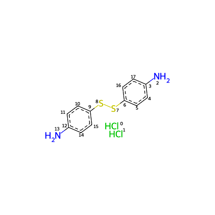 Cl.Cl.Nc1ccc(SSc2ccc(N)cc2)cc1